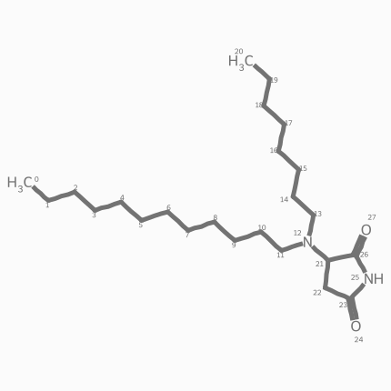 CCCCCCCCCCCCN(CCCCCCCC)C1CC(=O)NC1=O